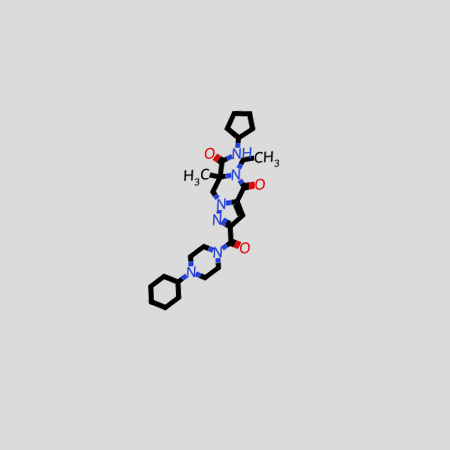 CCN1C(=O)c2cc(C(=O)N3CCN(C4CCCCC4)CC3)nn2CC1(C)C(=O)NC1CCCC1